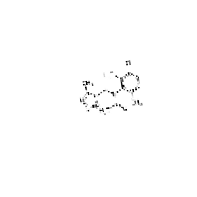 CC(=O)N(Cc1nsnc1C)c1c(C)ccc(Cl)c1C